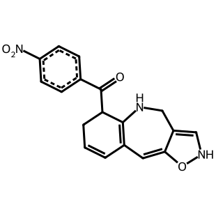 O=C(c1ccc([N+](=O)[O-])cc1)C1CC=CC2=C1NCC1=CNOC1=C2